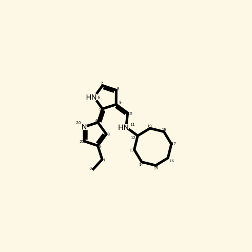 CCC1=CC(=c2[nH]ccc2=CNC2CCCCCCC2)N=C1